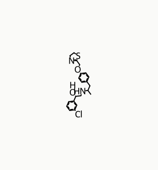 CC(Cc1ccc(OCC2=NCCS2)cc1)NCC(O)c1cccc(Cl)c1